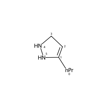 CCCC1=CCNN1